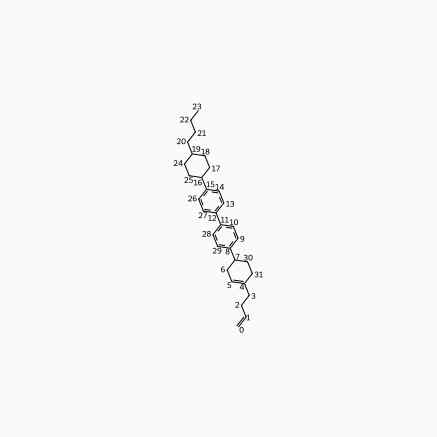 C=CCCC1=CCC(c2ccc(-c3ccc(C4CCC(CCCC)CC4)cc3)cc2)CC1